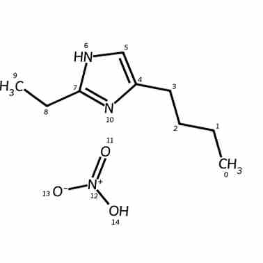 CCCCc1c[nH]c(CC)n1.O=[N+]([O-])O